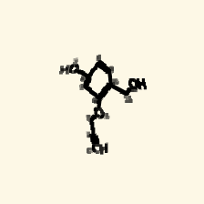 C#CCOc1cc(O)ccc1CO